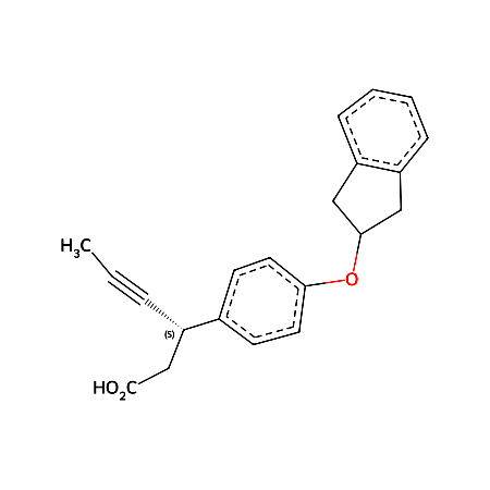 CC#C[C@@H](CC(=O)O)c1ccc(OC2Cc3ccccc3C2)cc1